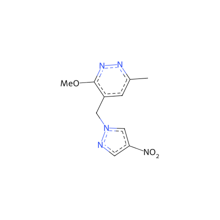 COc1nnc(C)cc1Cn1cc([N+](=O)[O-])cn1